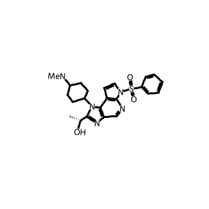 CNC1CCC(n2c([C@@H](C)O)nc3cnc4c(ccn4S(=O)(=O)c4ccccc4)c32)CC1